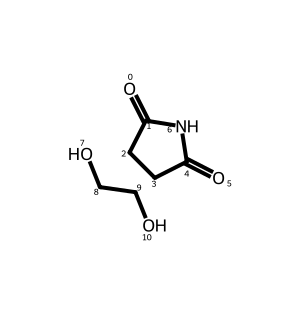 O=C1CCC(=O)N1.OCCO